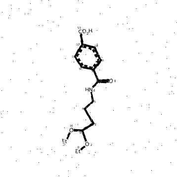 CCOC(CCCNC(=O)c1ccc(C(=O)O)cc1)OCC